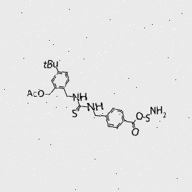 CC(=O)OCc1cc(C(C)(C)C)ccc1CNC(=S)NCc1ccc(C(=O)OSN)cc1